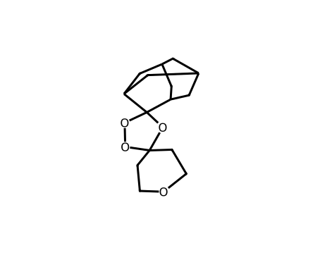 C1CC2(CCO1)OOC1(O2)C2CC3CC(C2)CC1C3